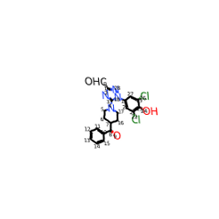 O=Cc1nc(N2CCC(C(=O)c3ccccc3)CC2)n(-c2cc(Cl)c(O)c(Cl)c2)n1